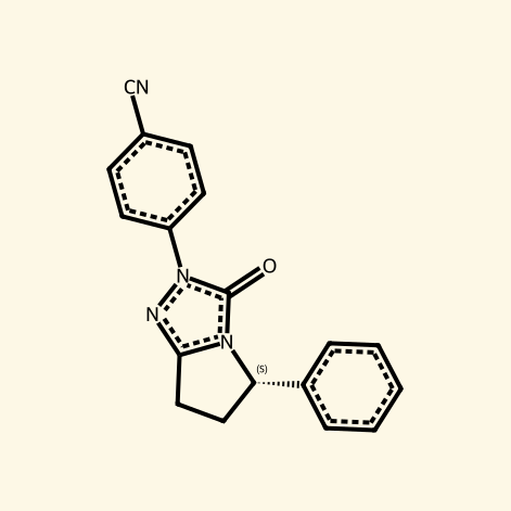 N#Cc1ccc(-n2nc3n(c2=O)[C@H](c2ccccc2)CC3)cc1